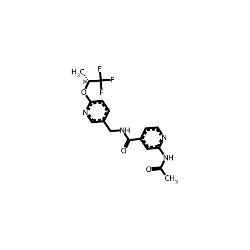 CC(=O)Nc1cc(C(=O)NCc2ccc(O[C@H](C)C(F)(F)F)nc2)ccn1